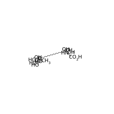 CC(O)C(CCCCCCCCCCCCCCCCC(O)C(C)NC(O)CCC(=O)O)OC1OC(CO)C(O)C(O)C1O